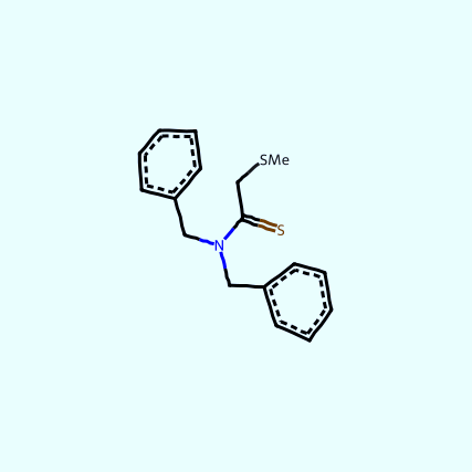 CSCC(=S)N(Cc1ccccc1)Cc1ccccc1